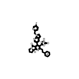 O=C1c2c(nc(CCC34CCC(CC3)OC4)c(-c3n[nH]c(=O)o3)c2-c2cnc3c(ccn3Cc3ccc(F)cn3)c2)[C@@H]2CCCN12